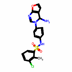 Cc1c(Cl)cccc1S(=O)(=O)Nc1ccc(N2C=Nc3occc3C2N)cc1